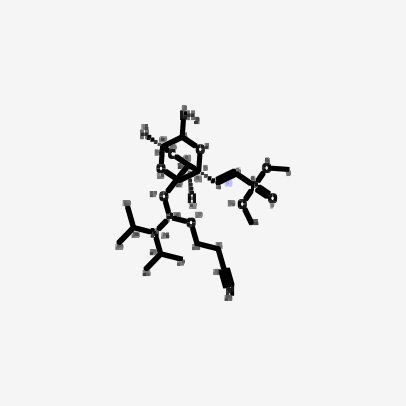 BC1O[C@@]2(/C=C/P(=O)(OC)OC)CO[C@@H]1C[C@@H]2OP(OCCC#N)N(C(C)C)C(C)C